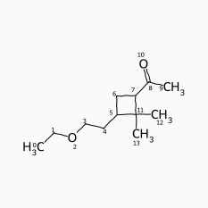 CCOCCC1CC(C(C)=O)C1(C)C